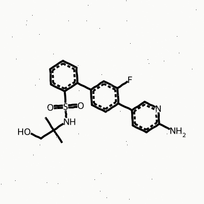 CC(C)(CO)NS(=O)(=O)c1ccccc1-c1ccc(-c2ccc(N)nc2)c(F)c1